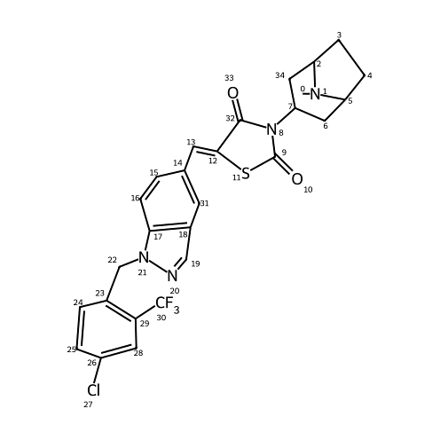 CN1C2CCC1CC(N1C(=O)SC(=Cc3ccc4c(cnn4Cc4ccc(Cl)cc4C(F)(F)F)c3)C1=O)C2